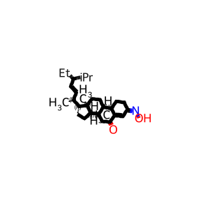 CCC(C=C[C@@H](C)[C@H]1CC[C@H]2[C@@H]3CC(=O)C4=CC(=NO)CC[C@]4(C)[C@H]3CC[C@]12C)C(C)C